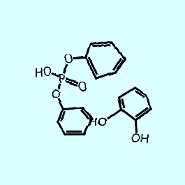 O=P(O)(Oc1ccccc1)Oc1ccccc1.Oc1ccccc1O